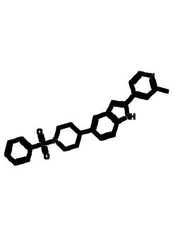 Cc1cc(-c2cc3cc(C4CCN(S(=O)(=O)c5ccccc5)CC4)ccc3[nH]2)ccn1